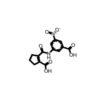 O=C(O)C1=C(C(=O)Nc2cc(C(=O)O)cc([N+](=O)[O-])c2)CCC1